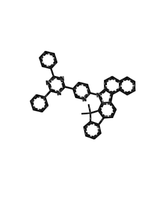 CC1(C)c2ccccc2-c2ccc3c4c5ccccc5ccc4n(-c4ccc(-c5nc(-c6ccccc6)nc(-c6ccccc6)n5)cn4)c3c21